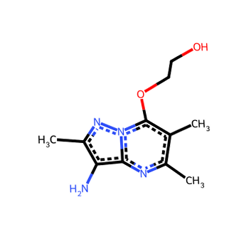 Cc1nc2c(N)c(C)nn2c(OCCO)c1C